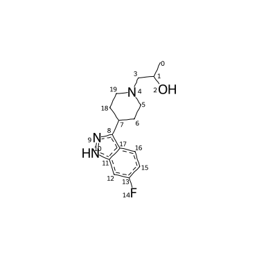 CC(O)CN1CCC(c2n[nH]c3cc(F)ccc23)CC1